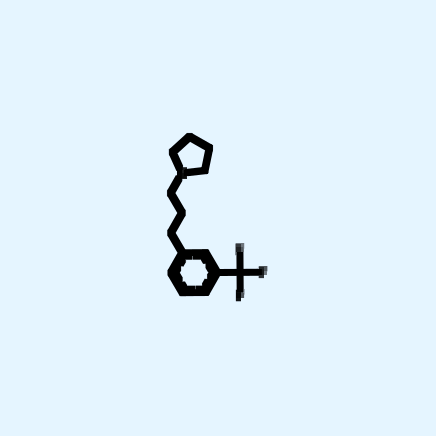 FC(F)(F)c1cccc(CCCN2CCCC2)c1